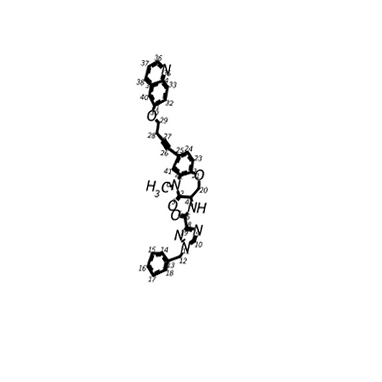 CN1C(=O)C(NC(=O)c2ncn(Cc3ccccc3)n2)COc2ccc(C#CCCOc3ccc4ncccc4c3)cc21